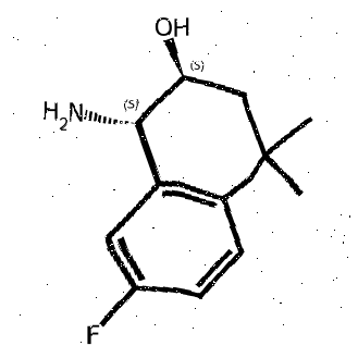 CC1(C)C[C@H](O)[C@@H](N)c2cc(F)ccc21